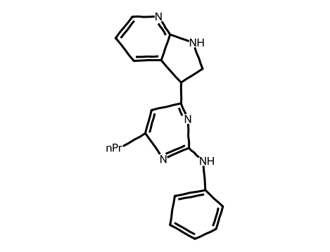 CCCc1cc(C2CNc3ncccc32)nc(Nc2ccccc2)n1